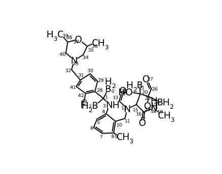 BC(B)(Nc1cccc(C)c1CN(C=O)C(C(=O)NC)C(B)(O)C(B)(O)C=O)c1ccc(CN2CC(C)OC(C)C2)cc1F